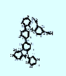 N#Cc1ccc(-n2c3ccccc3c3ccc(-c4ccc5c(c4)c4ccccc4n5-c4ccccc4)cc32)c(C#N)c1